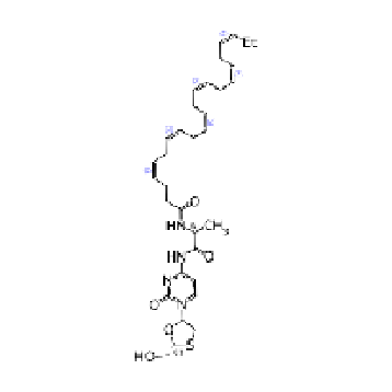 CC/C=C\C/C=C\C/C=C\C/C=C\C/C=C\C/C=C\CCC(=O)N[C@@H](C)C(=O)Nc1ccn(C2CS[C@H](CO)O2)c(=O)n1